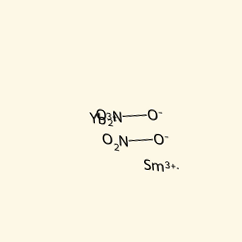 O=[N+]([O-])[O-].O=[N+]([O-])[O-].[Sm+3].[Yb+3]